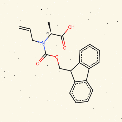 C=CCN(C(=O)OCC1c2ccccc2-c2ccccc21)[C@@H](C)C(=O)O